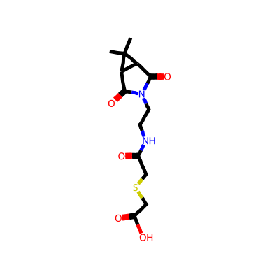 CC1(C)C2C(=O)N(CCNC(=O)CSCC(=O)O)C(=O)C21